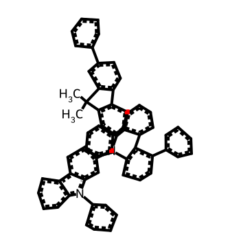 CC1(C)c2cc(-c3ccccc3)ccc2-c2ccc(N(c3ccc4c5ccccc5n(-c5ccccc5)c4c3)c3cccc(-c4ccccc4)c3-c3ccccc3-c3ccccc3)cc21